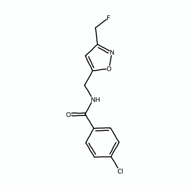 O=C(NCc1cc(CF)no1)c1ccc(Cl)cc1